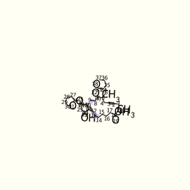 CCC#CCC(C)[C@@H](/C=C/[C@@H]1[C@@H](C/C=C\CCCC(=O)O)[C@@H](O)C[C@H]1OC1CCCCO1)OC1CCCCO1